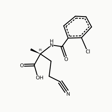 C[C@](CCC#N)(NC(=O)c1ccccc1Cl)C(=O)O